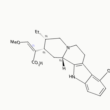 CC[C@@H]1CN2CCc3c([nH]c4cccc(O)c34)[C@@H]2C[C@@H]1/C(=C/OC)C(=O)O